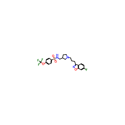 O=S(=O)(NCC1CCN(CCCc2noc3cc(F)ccc23)C1)c1ccc(OC(F)(F)F)cc1